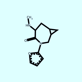 CNC1CC2CC2CN(c2ccco2)C1=O